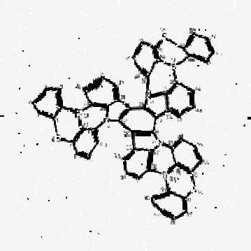 c1ccc2c(c1)Sc1cccc3c1B2c1cccc2c4c(c5c6cccc7c6n(c5c5c6cccc8c6n(c45)-c4cccc5c4B8c4ccccc4S5)-c4cccc5c4B7c4ccccc4S5)n-3c12